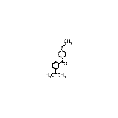 CCCN1CCN(C(=O)c2cccc(C(C)C)c2)CC1